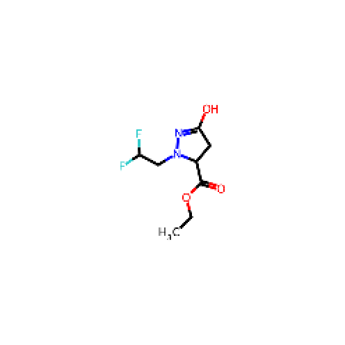 CCOC(=O)C1CC(O)=NN1CC(F)F